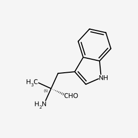 C[C@@](N)(C=O)Cc1c[nH]c2ccccc12